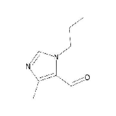 CCCn1cnc(C)c1C=O